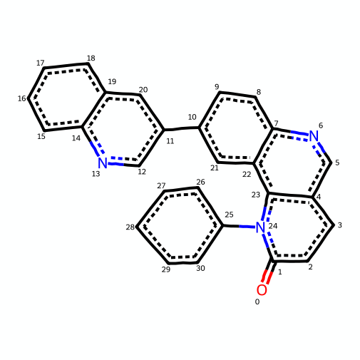 O=c1ccc2cnc3ccc(-c4cnc5ccccc5c4)cc3c2n1-c1ccccc1